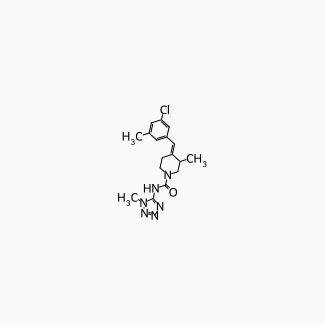 Cc1cc(Cl)cc(C=C2CCN(C(=O)Nc3nnnn3C)CC2C)c1